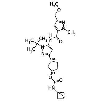 COCc1cc(C(=O)Nc2cc([C@H]3CC[C@@H](OC(=O)NC45CC(C4)C5)C3)nn2C(C)(C)C)n(C)n1